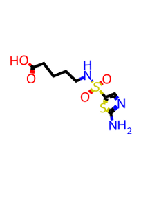 Nc1ncc(S(=O)(=O)NCCCCC(=O)O)s1